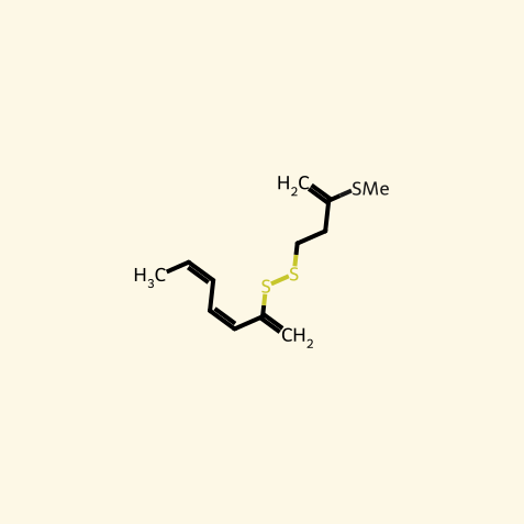 C=C(/C=C\C=C/C)SSCCC(=C)SC